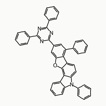 c1ccc(-c2nc(-c3ccccc3)nc(-c3cc(-c4ccccc4)c4c(c3)oc3c4ccc4c3c3ccccc3n4-c3ccccc3)n2)cc1